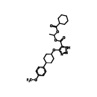 CC(OC(=O)c1[nH]nnc1OC1CCC(c2ccc(OC(F)(F)F)cc2)CC1)OC(=O)C1CCCCC1